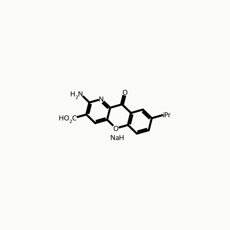 CC(C)c1ccc2oc3cc(C(=O)O)c(N)nc3c(=O)c2c1.[NaH]